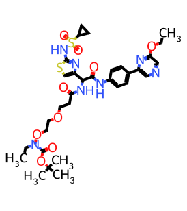 CCOc1cncc(-c2ccc(NC(=O)C(NC(=O)CCOCCON(CC)C(=O)OC(C)(C)C)c3csc(NS(=O)(=O)C4CC4)n3)cc2)n1